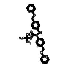 CC(C)(C)OC(=O)N(Nc1ccc(COc2ccccn2)cc1)c1ccc(COc2ccccn2)cc1